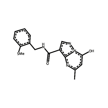 CSc1ccccc1CNC(=O)c1cnn2c(O)cc(C)nc12